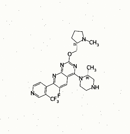 C[C@@H]1CNCCN1c1nc(OC[C@@H]2CCCN2C)nc2nc(-c3ccncc3C(F)(F)F)c(F)cc12